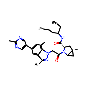 CC(=O)c1nn(CC(=O)N2C3C[C@]3(C)C[C@H]2C(=O)NC(CCC(C)C)CC(C)C)c2c(C)cc(-c3cnc(C)nc3)cc12